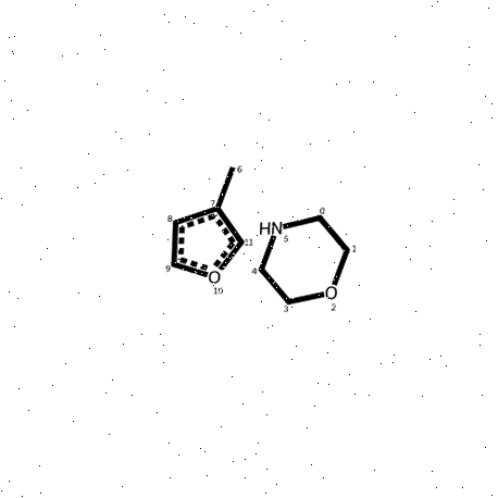 C1COCCN1.Cc1ccoc1